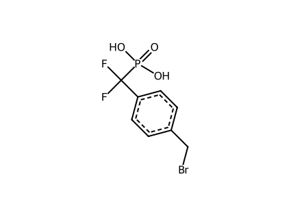 O=P(O)(O)C(F)(F)c1ccc(CBr)cc1